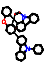 c1ccc(-n2c3ccccc3c3cc(-c4ccc5c(c4)C4(c6ccccc6O5)c5ccccc5-n5c6ccccc6c6cccc4c65)ccc32)cc1